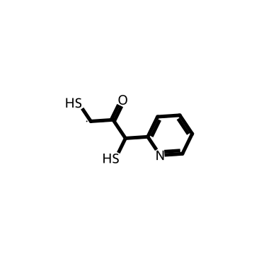 O=C([CH]S)C(S)c1ccccn1